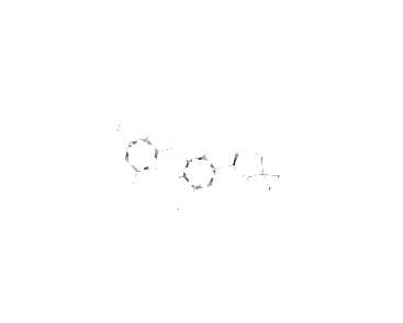 Cl.NCc1cc(Oc2cccc(C(=O)NC3(CO)CC3)c2)nc(C(F)(F)F)c1